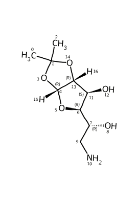 CC1(C)O[C@H]2O[C@H]([C@H](O)CN)[C@H](O)[C@H]2O1